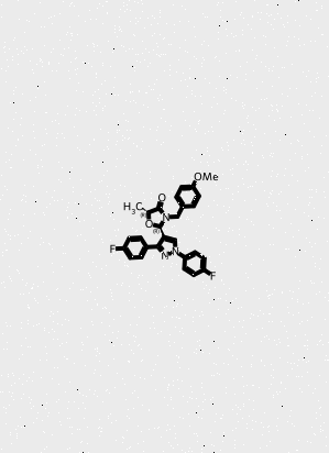 COc1ccc(CN2C(=O)[C@@H](C)O[C@@H]2c2cn(-c3ccc(F)cc3)nc2-c2ccc(F)cc2)cc1